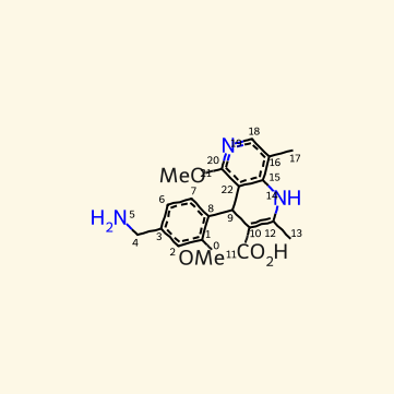 COc1cc(CN)ccc1C1C(C(=O)O)=C(C)Nc2c(C)cnc(OC)c21